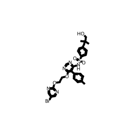 Cc1ccc(-c2c(NS(=O)(=O)c3ccc(C(C)(C)CO)cc3)ncnc2OCCOc2ncc(Br)cn2)cc1